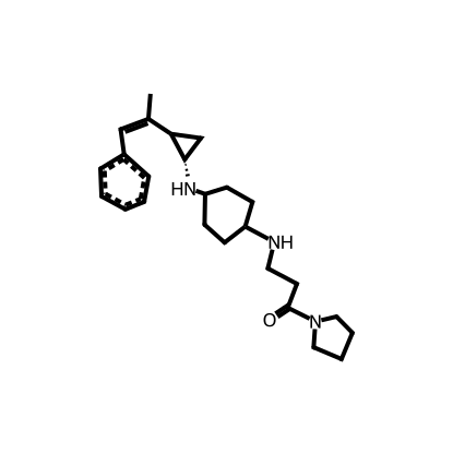 CC(=Cc1ccccc1)C1C[C@@H]1NC1CCC(NCCC(=O)N2CCCC2)CC1